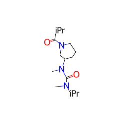 CC(C)C(=O)N1CCCC(N(C)C(=O)N(C)C(C)C)C1